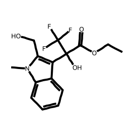 CCOC(=O)C(O)(c1c(CO)n(C)c2ccccc12)C(F)(F)F